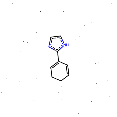 [C]1=CCCC=C1c1ncc[nH]1